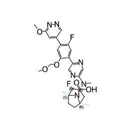 COCOc1cc(-c2cnnc(OC)c2)c(F)cc1-c1cnc(N(C)[C@@H]2C[C@@]3(C)CC[C@@](C)([C@@H]2F)N3C(=O)O)cn1